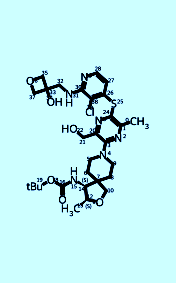 Cc1nc(N2CCC3(CC2)CO[C@@H](C)[C@H]3NC(=O)OC(C)(C)C)c(CO)nc1Sc1ccnc(NCC2(O)COC2)c1Cl